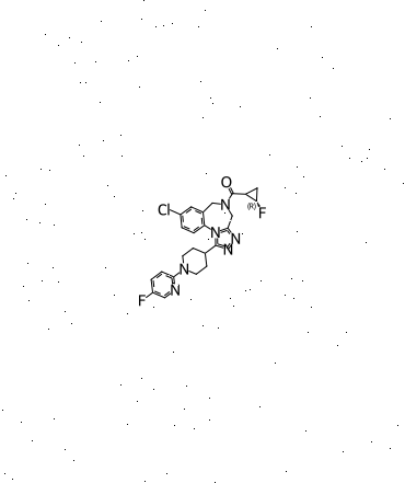 O=C(C1C[C@H]1F)N1Cc2cc(Cl)ccc2-n2c(nnc2C2CCN(c3ccc(F)cn3)CC2)C1